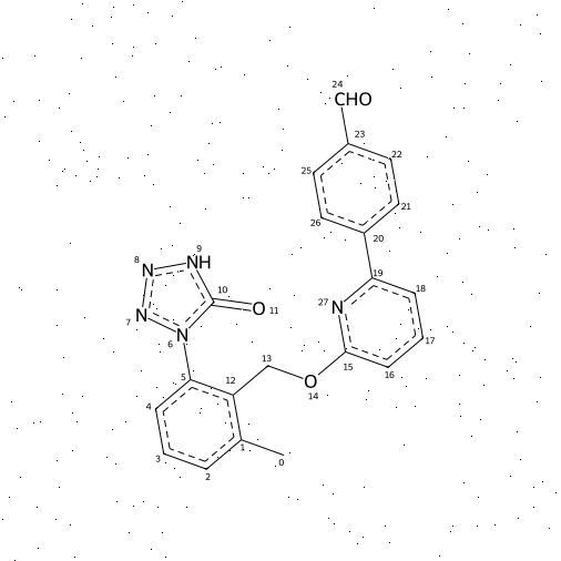 Cc1cccc(-n2nn[nH]c2=O)c1COc1cccc(-c2ccc(C=O)cc2)n1